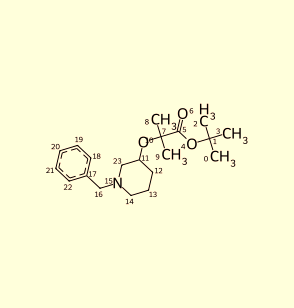 CC(C)(C)OC(=O)C(C)(C)OC1CCCN(Cc2ccccc2)C1